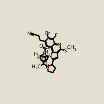 CSc1nc2c(F)c(Br)c(CCC#N)cc2c2c1cc(C1CCCN1C(C)=O)n2[C@H]1[C@@H]2C[C@H]1N(C(=O)O)C2